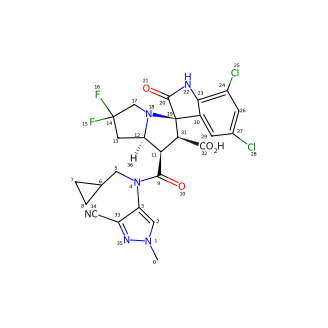 Cn1cc(N(CC2CC2)C(=O)[C@H]2[C@H]3CC(F)(F)CN3[C@]3(C(=O)Nc4c(Cl)cc(Cl)cc43)[C@H]2C(=O)O)c(C#N)n1